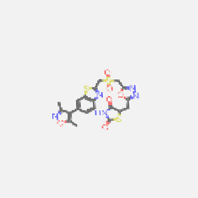 Cc1noc(C)c1-c1ccc2nc(CS(=O)(=O)Cc3nnc(CC4SC(=O)NC4=O)o3)sc2c1